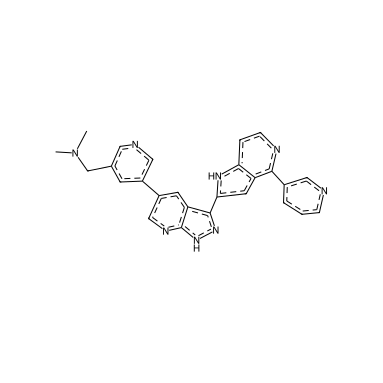 CN(C)Cc1cncc(-c2cnc3[nH]nc(-c4cc5c(-c6cccnc6)nccc5[nH]4)c3c2)c1